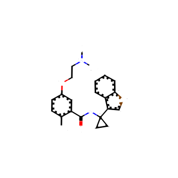 Cc1ccc(OCCN(C)C)cc1C(=O)NC1(c2csc3ccccc23)CC1